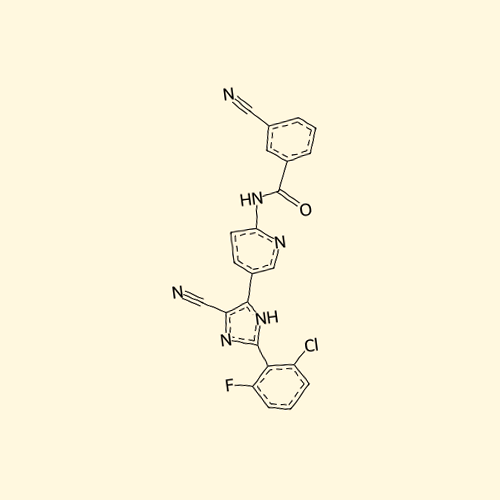 N#Cc1cccc(C(=O)Nc2ccc(-c3[nH]c(-c4c(F)cccc4Cl)nc3C#N)cn2)c1